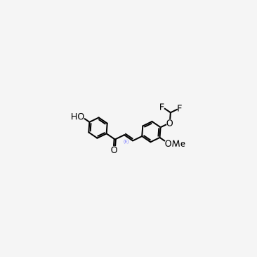 COc1cc(/C=C/C(=O)c2ccc(O)cc2)ccc1OC(F)F